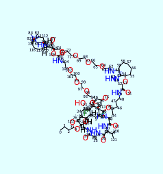 CCCC1O[C@@H]2C[C@H]3[C@@H]4C[C@H](F)C5=CC(=O)C=C[C@]5(C)[C@@]4(F)[C@@H](O)C[C@]3(C)[C@]2(C(=O)CNC(=O)[C@H](C)NC(=O)[C@@H](NC(=O)[C@@H](CCCCCNC(=O)COC2CCCCC/C(NCCOCCOCCOCCOCCC(=O)NCC[N+](C)(C)C)=C\2N=N)NC(=O)CCOCCOCCOCCOCCNC(=O)OC[C@@H]2[C@@H]3CCC#CCC[C@@H]32)C(C)C)O1